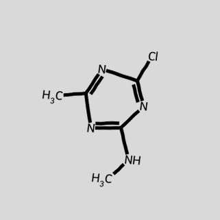 CNc1nc(C)nc(Cl)n1